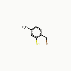 FC(F)(F)c1ccc(CBr)c(S)c1